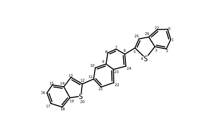 c1ccc2sc(-c3ccc4cc(-c5cc6ccccc6s5)ccc4c3)cc2c1